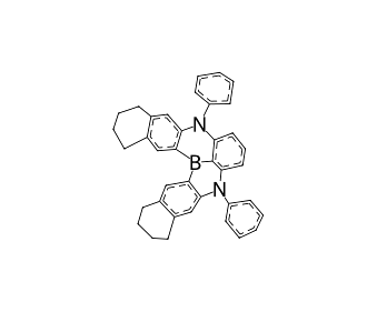 c1ccc(N2c3cc4c(cc3B3c5cc6c(cc5N(c5ccccc5)c5cccc2c53)CCCC6)CCCC4)cc1